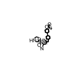 Cn1c(=O)oc2ccc(-c3ccc4cc(CC(C#N)NC(=O)[C@@H]5CNCCCO5)[nH]c4c3)cc21